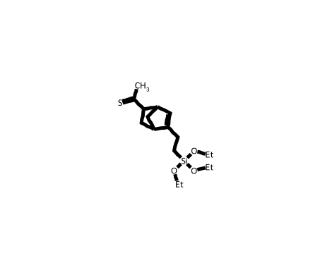 CCO[Si](CCC1=CC2CC1CC2C(C)=S)(OCC)OCC